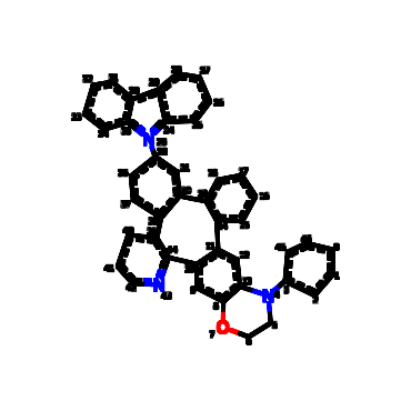 c1ccc(N2CCOc3cc4c(cc32)-c2ccccc2-c2cc(-n3c5ccccc5c5ccccc53)ccc2-c2cccnc2-4)cc1